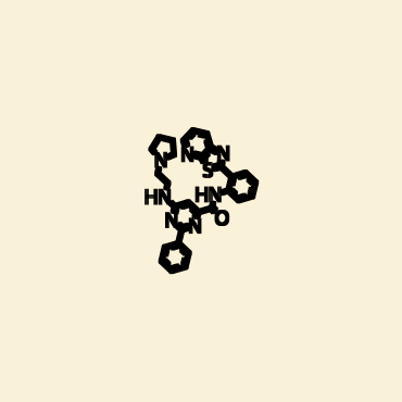 O=C(Nc1ccccc1-c1nc2cccnc2s1)c1cc(NCCN2CCCC2)nc(-c2ccccc2)n1